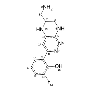 NCC1CNc2nnc(-c3cccc(F)c3O)cc2N1